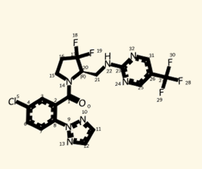 O=C(c1cc(Cl)ccc1-n1nccn1)N1CCC(F)(F)[C@H]1CNc1ncc(C(F)(F)F)cn1